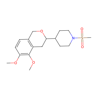 COc1ccc2c(c1OC)CC(C1CCN(S(C)(=O)=O)CC1)OC2